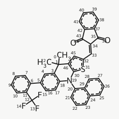 CC1(C)c2cc(-c3ccccc3C(F)(F)F)ccc2N(c2cccc3ccccc23)c2sc(C=C3C(=O)c4ccccc4C3=O)cc21